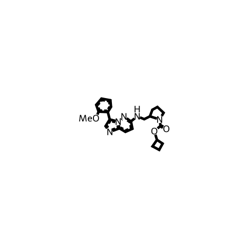 COc1ccccc1-c1cnc2ccc(NCC3CCCN3C(=O)OC3CCC3)nn12